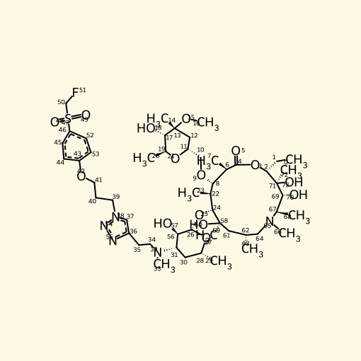 CC[C@H]1OC(=O)[C@H](C)[C@@H](OC[C@H]2C[C@@](C)(OC)[C@@H](O)[C@H](C)O2)[C@H](C)[C@@H](O[C@@H]2O[C@H](C)C[C@H](N(C)CCc3cn(CCCOc4ccc(S(=O)(=O)CF)cc4)nn3)[C@H]2O)[C@](C)(O)C[C@@H](C)CN(C)[C@H](C)[C@@H](O)[C@]1(C)O